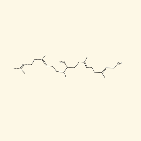 CC(C)=CCCC(C)=CCCC(C)C(O)CCC(C)=CCCC(C)=CCO